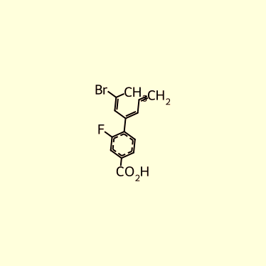 C=C/C=C(\C=C(/C)Br)c1ccc(C(=O)O)cc1F